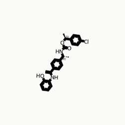 C=C(Nc1ccccc1O)c1ccc([C@@H](C)NC(=O)O[C@@H](C)c2ccc(Cl)cc2)cc1